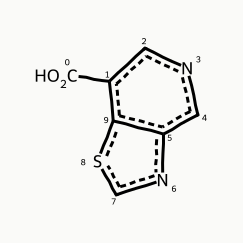 O=C(O)c1cncc2ncsc12